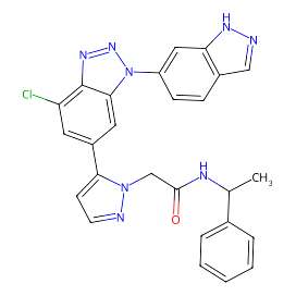 CC(NC(=O)Cn1nccc1-c1cc(Cl)c2nnn(-c3ccc4cn[nH]c4c3)c2c1)c1ccccc1